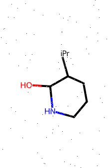 CC(C)C1CCCNC1O